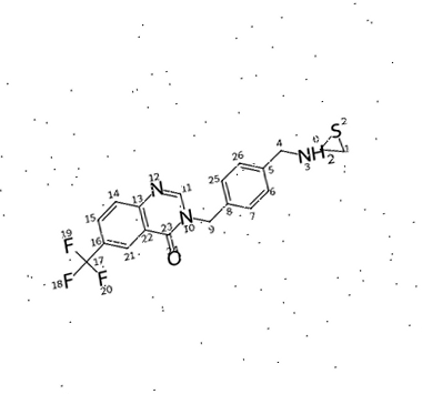 C1CS1.NCc1ccc(Cn2cnc3ccc(C(F)(F)F)cc3c2=O)cc1